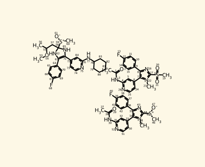 CC(=O)Nc1cc(-c2c(-c3ccc(F)cc3)nc(S(C)(=O)=O)n2C)ccn1.CC(=O)Nc1cc(-c2c(-c3ccc(F)cc3)nc([S+](C)[O-])n2C)ccn1.COC(C)CC1([S+](C)[O-])NC(c2ccc(F)cc2)=C(c2ccnc(NC3CCCCC3)c2)N1